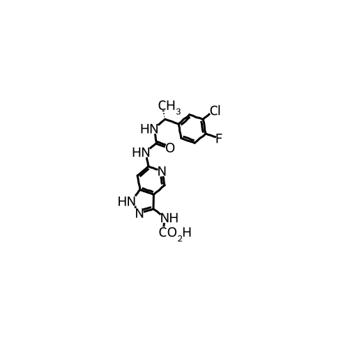 C[C@@H](NC(=O)Nc1cc2[nH]nc(NC(=O)O)c2cn1)c1ccc(F)c(Cl)c1